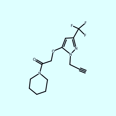 C#CCn1nc(C(F)(F)F)cc1OCC(=O)N1CCCCC1